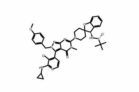 COc1ccc(Cn2nc3nc(N4CCC5(CC4)Oc4ccccc4[C@H]5N[S@+]([O-])C(C)(C)C)n(C)c(=O)c3c2-c2ccnc(NC3CC3)c2Cl)cc1